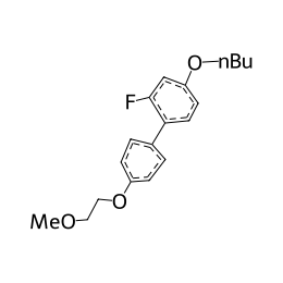 CCCCOc1ccc(-c2ccc(OCCOC)cc2)c(F)c1